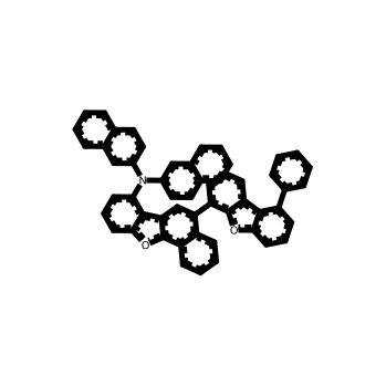 c1ccc(-c2cccc3oc4c(-c5cc6c(oc7cccc(N(c8ccc9ccccc9c8)c8ccc9ccccc9c8)c76)c6ccccc56)cccc4c23)cc1